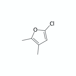 Cc1cc(Cl)oc1C